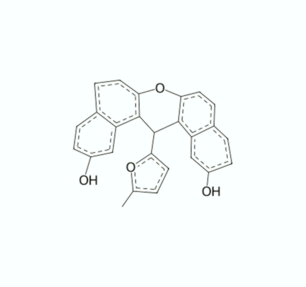 Cc1ccc(C2c3c(ccc4ccc(O)cc34)Oc3ccc4ccc(O)cc4c32)o1